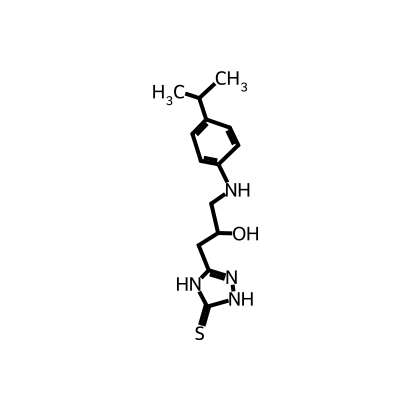 CC(C)c1ccc(NCC(O)Cc2n[nH]c(=S)[nH]2)cc1